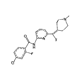 CN1CCC(=C(F)c2cccc(NC(=O)c3ccc(Cl)cc3F)n2)CC1